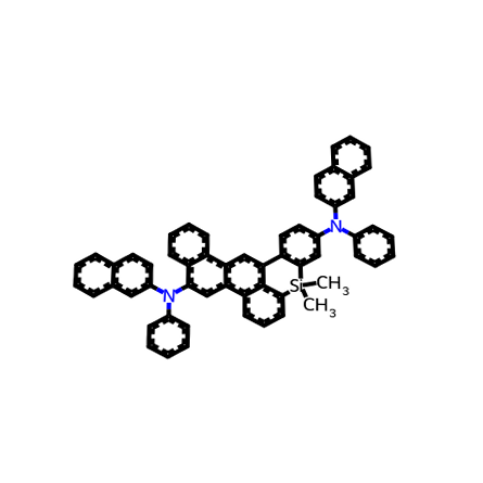 C[Si]1(C)c2cc(N(c3ccccc3)c3ccc4ccccc4c3)ccc2-c2cc3c4ccccc4c(N(c4ccccc4)c4ccc5ccccc5c4)cc3c3cccc1c23